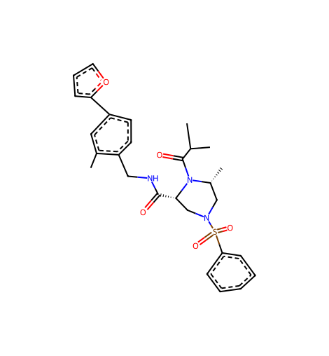 Cc1cc(-c2ccco2)ccc1CNC(=O)[C@H]1CN(S(=O)(=O)c2ccccc2)C[C@@H](C)N1C(=O)C(C)C